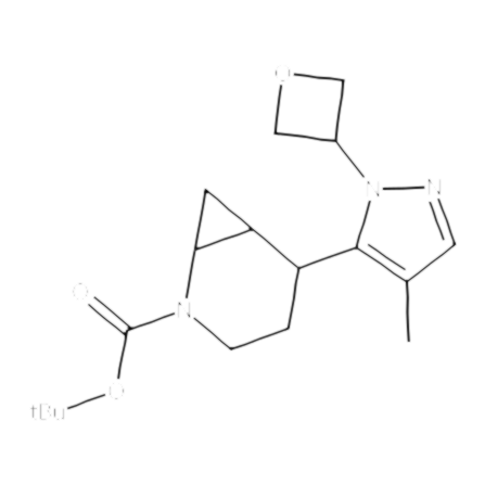 Cc1cnn(C2COC2)c1C1CCN(C(=O)OC(C)(C)C)C2CC12